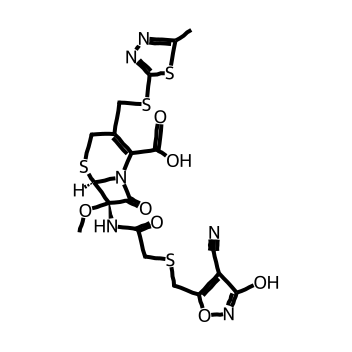 CO[C@@]1(NC(=O)CSCc2onc(O)c2C#N)C(=O)N2C(C(=O)O)=C(CSc3nnc(C)s3)CS[C@@H]21